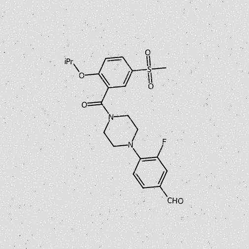 CC(C)Oc1ccc(S(C)(=O)=O)cc1C(=O)N1CCN(c2ccc(C=O)cc2F)CC1